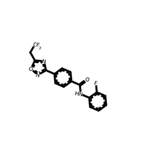 O=C(Nc1ccccc1F)c1ccc(-c2noc(CC(F)(F)F)n2)cc1